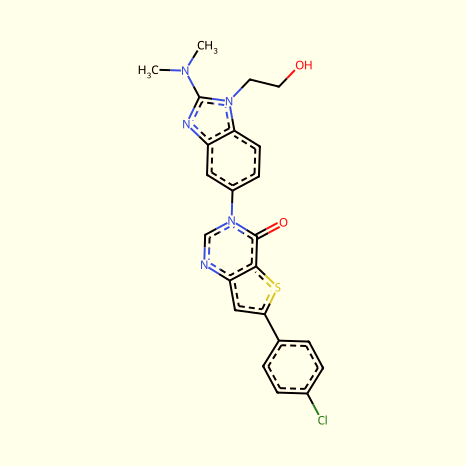 CN(C)c1nc2cc(-n3cnc4cc(-c5ccc(Cl)cc5)sc4c3=O)ccc2n1CCO